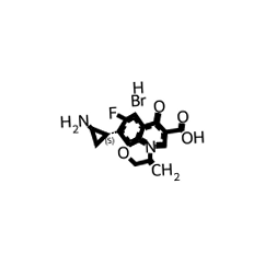 Br.C=C1COc2c([C@@H]3CC3N)c(F)cc3c(=O)c(C(=O)O)cn1c23